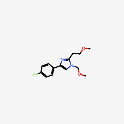 COCCc1nc(-c2ccc(F)cc2)cn1COC